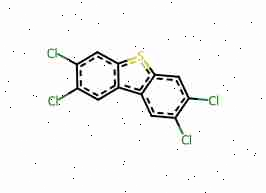 Clc1cc2sc3cc(Cl)c(Cl)cc3c2cc1Cl